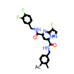 CC(=O)c1ccc(CNC(=O)c2cc(C(=O)NCc3ccc(F)c(F)c3)nc3c(F)cnn23)cc1C